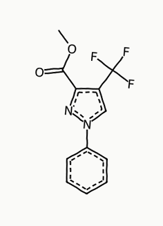 COC(=O)c1nn(-c2ccccc2)cc1C(F)(F)F